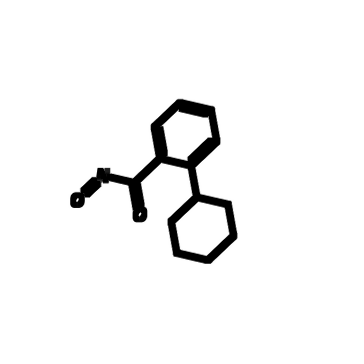 O=NC(=O)c1ccccc1C1CCCCC1